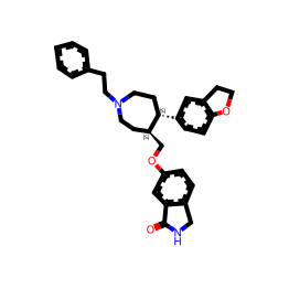 O=C1NCc2ccc(OC[C@H]3CCN(CCc4ccccc4)CC[C@@H]3c3ccc4c(c3)CCO4)cc21